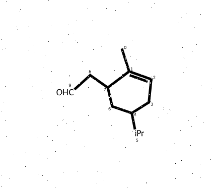 CC1=CCC(C(C)C)CC1CC=O